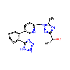 CCCC(=O)c1nc(CCC)n(Cc2ccc(-c3ccccc3-c3nnn[nH]3)cn2)n1